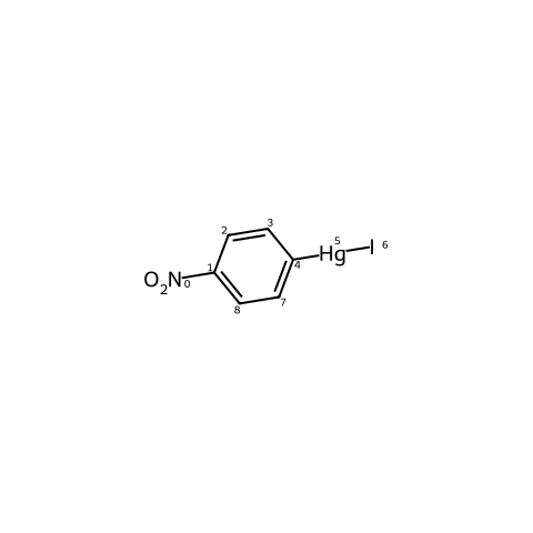 O=[N+]([O-])c1cc[c]([Hg][I])cc1